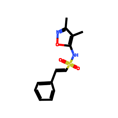 Cc1noc(NS(=O)(=O)/C=C/c2ccccc2)c1C